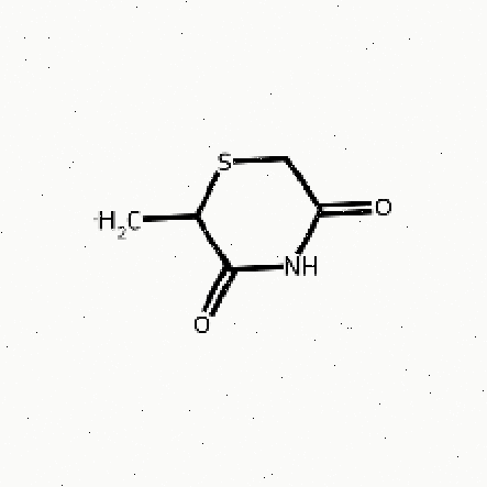 [CH2]C1SCC(=O)NC1=O